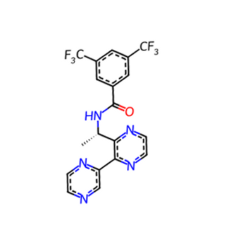 C[C@H](NC(=O)c1cc(C(F)(F)F)cc(C(F)(F)F)c1)c1nccnc1-c1cnccn1